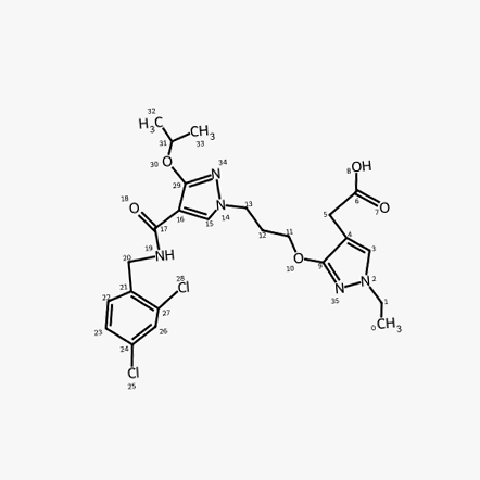 CCn1cc(CC(=O)O)c(OCCCn2cc(C(=O)NCc3ccc(Cl)cc3Cl)c(OC(C)C)n2)n1